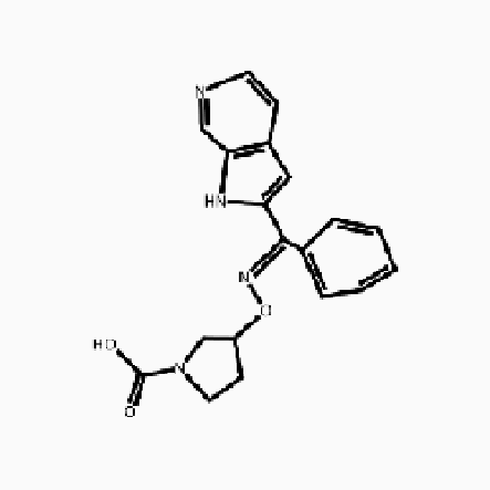 O=C(O)N1CCC(O/N=C(\c2ccccc2)c2cc3ccncc3[nH]2)C1